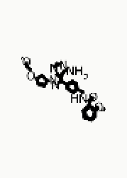 COCCOC1C=CC(n2nc(-c3ccc(CNC(=O)c4ccccc4OC)cc3)c3c(N)ncnc32)C1